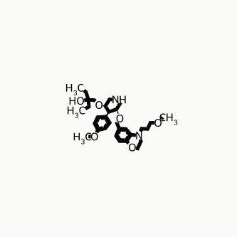 CCC(O)(CC)CO[C@@H]1CNC[C@H](OCc2ccc3c(c2)N(CCCOC)CCO3)[C@H]1c1ccc(OC)cc1